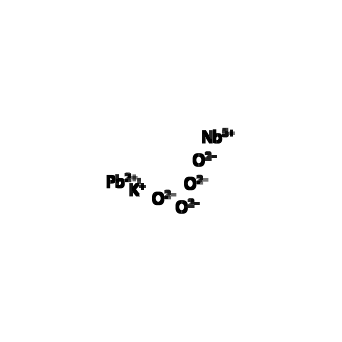 [K+].[Nb+5].[O-2].[O-2].[O-2].[O-2].[Pb+2]